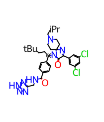 CC(C)CN1CCC2(CC1)N=C(c1cc(Cl)cc(Cl)c1)C(=O)N2[C@H](CCC(C)(C)C)c1ccc(C(=O)NCc2nn[nH]n2)cc1